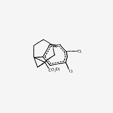 CCOC(=O)C12CNCCC1(c1ccc(Cl)c(Cl)c1)C2